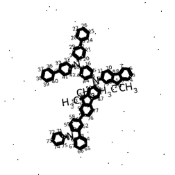 CC1(C)c2ccccc2-c2ccc(N(c3ccc(N(c4ccc(-c5ccccc5)cc4)c4ccc(-c5ccccc5)cc4)cc3)c3ccc4c(c3)C(C)(C)c3cc(-c5ccc6c(c5)c5ccccc5n6-c5ccccc5)ccc3-4)cc21